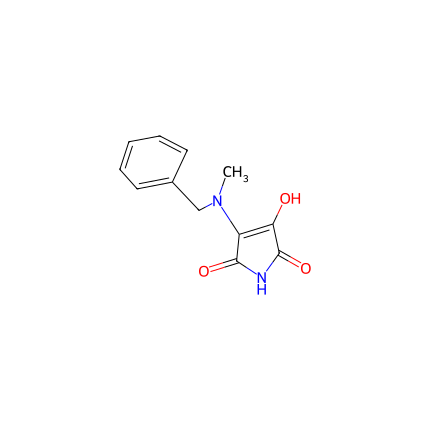 CN(Cc1ccccc1)C1=C(O)C(=O)NC1=O